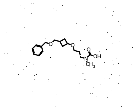 CN(CCCOC1CC(COCc2ccccc2)C1)C(=O)O